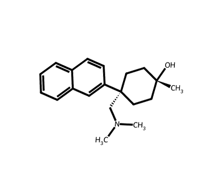 CN(C)C[C@]1(c2ccc3ccccc3c2)CC[C@](C)(O)CC1